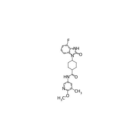 COc1ncc(NC(=O)C2CCC(n3c(=O)[nH]c4c(F)cccc43)CC2)cc1C